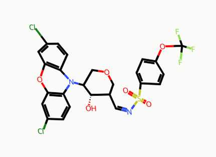 O=S(=O)(/N=C\C1COCC(N2c3ccc(Cl)cc3Oc3cc(Cl)ccc32)[C@H]1O)c1ccc(OC(F)(F)F)cc1